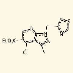 CCOC(=O)c1cnc2c(c(C)nn2Cc2cscn2)c1Cl